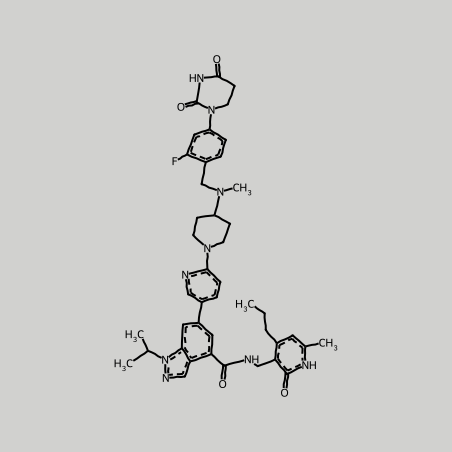 CCCc1cc(C)[nH]c(=O)c1CNC(=O)c1cc(-c2ccc(N3CCC(N(C)Cc4ccc(N5CCC(=O)NC5=O)cc4F)CC3)nc2)cc2c1cnn2C(C)C